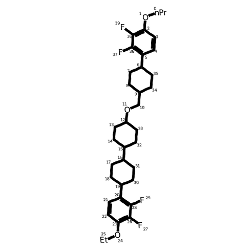 CCCOc1ccc(C2CCC(COC3CCC(C4CCC(c5ccc(OCC)c(F)c5F)CC4)CC3)CC2)c(F)c1F